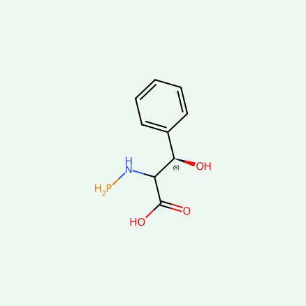 O=C(O)C(NP)[C@H](O)c1ccccc1